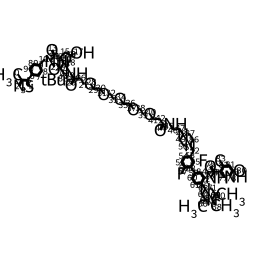 Cc1ncsc1-c1ccc(CNC(=O)[C@@H]2C[C@@H](O)CN2C(=O)[C@@H](NC(=O)CCOCCOCCOCCOCCOCCC(=O)NCCN2CCN(Cc3ccc(F)c(-c4ccc(N5C[C@@H](C)N(C)[C@@H](C)C5)c(NC(=O)c5c[nH]c(=O)cc5C(F)(F)F)c4)c3)CC2)C(C)(C)C)cc1